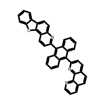 c1cnc2c(c1)ccc1ccc(-c3c4ccccc4c(-c4ccc5c(ccc6c7ccccc7oc56)n4)c4ccccc34)nc12